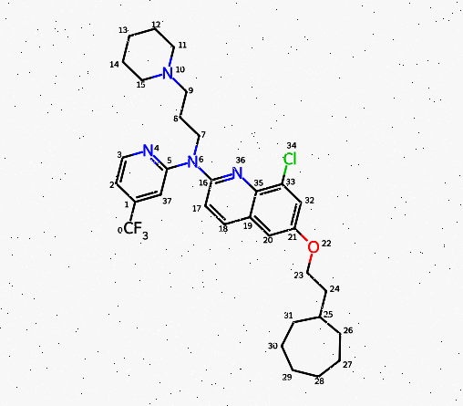 FC(F)(F)c1ccnc(N(CCCN2CCCCC2)c2ccc3cc(OCCC4CCCCCC4)cc(Cl)c3n2)c1